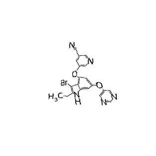 CCc1[nH]c2cc(Oc3cncnc3)cc(Oc3cncc(C#N)c3)c2c1Br